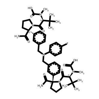 CN(C(=O)O)[C@H](C(=O)N1CCC[C@@]1(C(N)=O)c1cccc(CN(Cc2cccc([C@]3(C(N)=O)CCCN3C(=O)[C@@H](N(C)C(=O)O)C(C)(C)C)c2)c2ccc(F)cc2)c1)C(C)(C)C